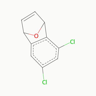 Clc1cc(Cl)c2c(c1)C1C=CC2O1